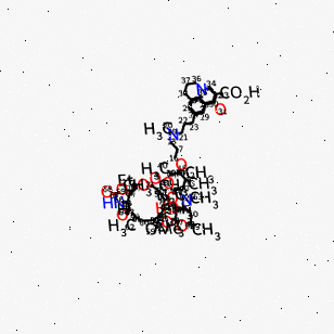 CC[C@H]1OC(=O)[C@H](C)[C@@H](O[C@H]2CC(C)(C)[C@@H](OCCCN(C)CCCc3cc4c5c(c3)c(=O)c(C(=O)O)cn5CCC4)[C@H](C)O2)[C@H](C)[C@@H](O[C@@H]2O[C@H](C)C[C@H](N(C)C)[C@H]2O)[C@](C)(OC)C[C@@H](C)C(=O)[C@H]2NC(=O)O[C@@]21C